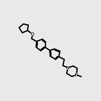 CN1CCN(CCc2ccc(-c3ccc(COC4CCCC4)cc3)cc2)CC1